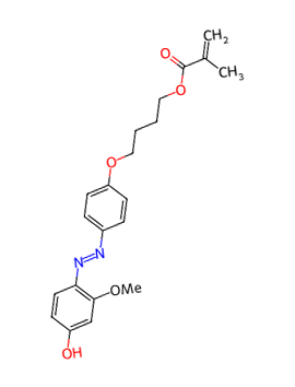 C=C(C)C(=O)OCCCCOc1ccc(N=Nc2ccc(O)cc2OC)cc1